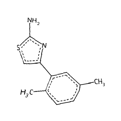 Cc1ccc(C)c(-c2csc(N)n2)c1